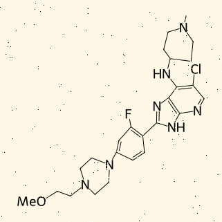 COCCN1CCN(c2ccc(-c3nc4c(NC5CCN(C)CC5)c(Cl)cnc4[nH]3)c(F)c2)CC1